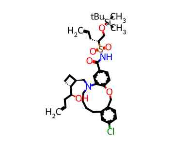 C=CC[C@H](CO[Si](C)(C)C(C)(C)C)S(=O)(=O)NC(=O)c1ccc2c(c1)N(C[C@@H]1CC[C@H]1[C@@H](O)CC=C)CCCCc1cc(Cl)ccc1CO2